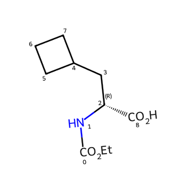 CCOC(=O)N[C@H](CC1CCC1)C(=O)O